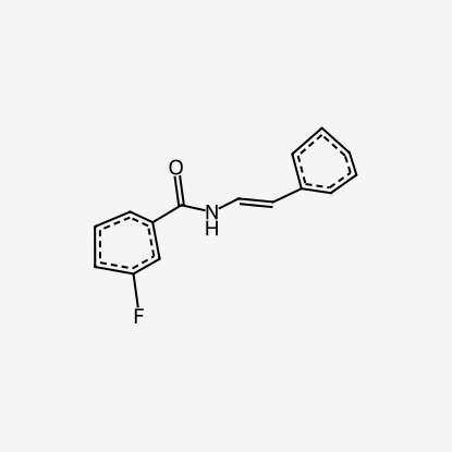 O=C(NC=Cc1ccccc1)c1cccc(F)c1